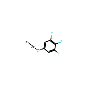 [CH2][CH2][Zn][O]c1cc(F)c(F)c(F)c1